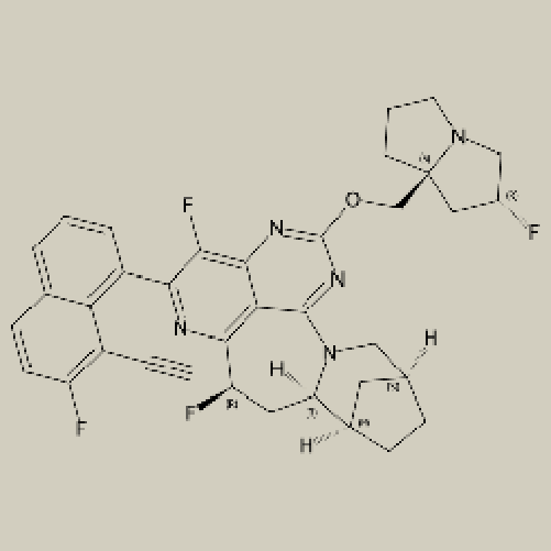 C#Cc1c(F)ccc2cccc(-c3nc4c5c(nc(OC[C@@]67CCCN6C[C@H](F)C7)nc5c3F)N3C[C@H]5CC[C@H](C5)[C@H]3C[C@H]4F)c12